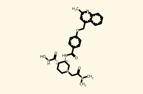 Cc1cc(COc2ccc(C(=O)N[C@@H]3CN(CC(=O)N(C)C)CC[C@@H]3C(=O)NO)cc2)c2ccccc2n1